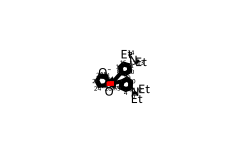 CCN(CC)c1ccc(C2(c3ccc(N(CC)CC)cc3)C[S+]([O-])C34C=CC=CC3OC=C24)cc1